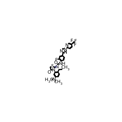 CCCc1ccc(N(C)C)cc1N1C(=O)CS/C1=N\C(=O)Nc1ccc(-c2ncn(-c3ccc(C(F)(F)F)cn3)n2)cc1F